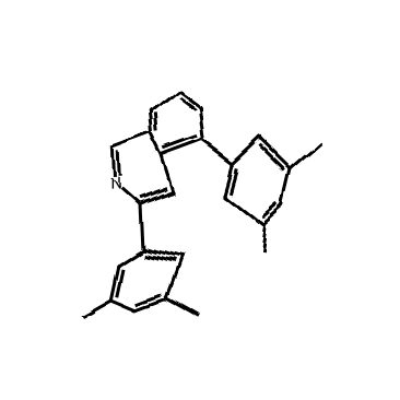 Cc1cc(C)cc(-c2cc3c(-c4cc(C)cc(C)c4)cccc3cn2)c1